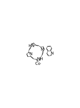 C1=Cc2cc3ccc(cc4nc(cc5ccc(cc1n2)[nH]5)C=C4)[nH]3.[Co].c1ccc2ncccc2c1